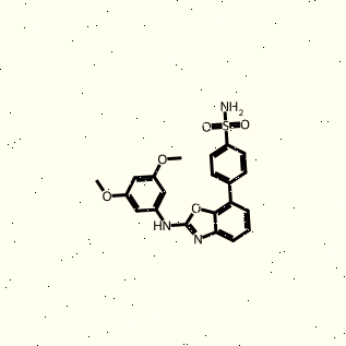 COc1cc(Nc2nc3cccc(-c4ccc(S(N)(=O)=O)cc4)c3o2)cc(OC)c1